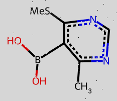 CSc1ncnc(C)c1B(O)O